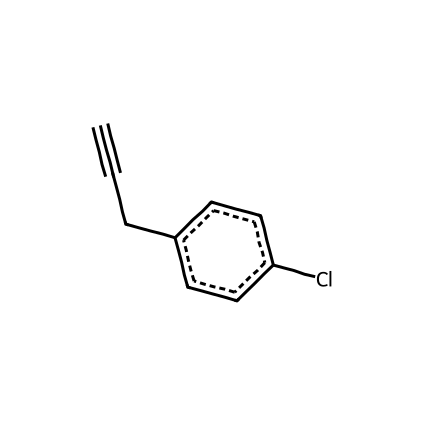 C#CCc1ccc(Cl)cc1